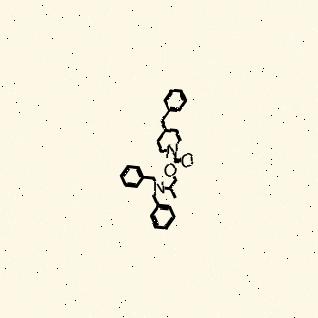 CC(COC(=O)N1CCC(Cc2ccccc2)CC1)N(Cc1ccccc1)Cc1ccccc1